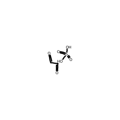 O=CC=O.O=S(=O)(O)O